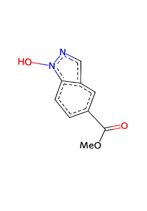 COC(=O)c1ccc2c(cnn2O)c1